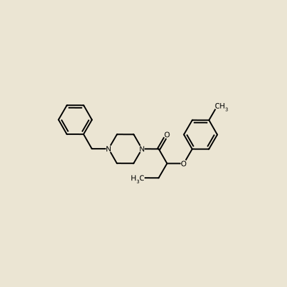 CCC(Oc1ccc(C)cc1)C(=O)N1CCN(Cc2ccccc2)CC1